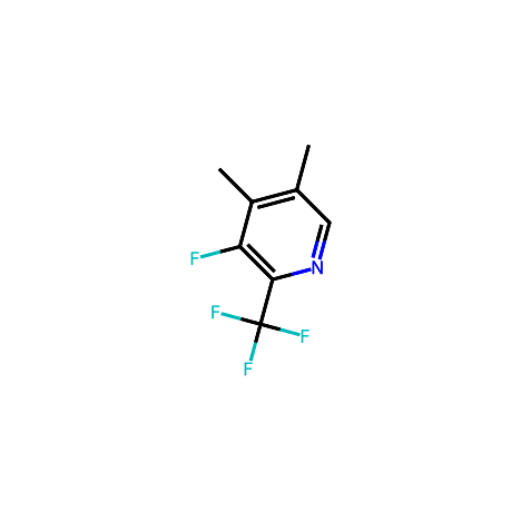 Cc1cnc(C(F)(F)F)c(F)c1C